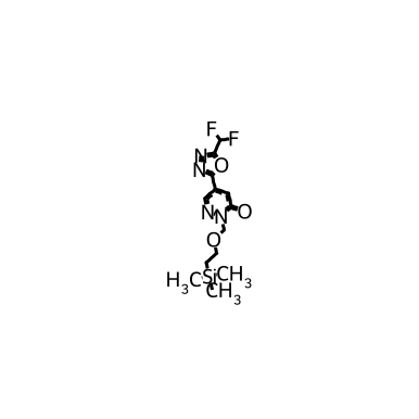 C[Si](C)(C)CCOCn1ncc(-c2nnc(C(F)F)o2)cc1=O